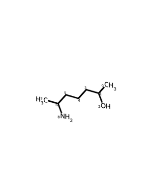 C[C](O)CCCC(C)N